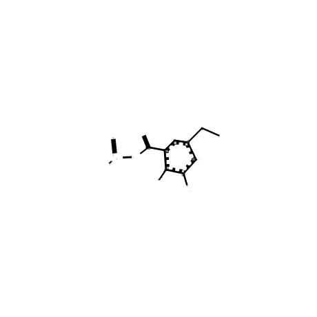 CCc1cc(Br)c(Cl)c(C(=O)O[N+](=O)[O-])c1